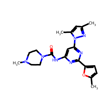 Cc1cc(C)n(-c2cc(NC(=O)N3CCN(C)CC3)nc(-c3ccc(C)o3)n2)n1